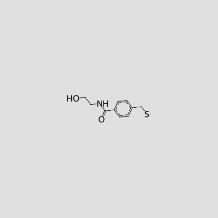 O=C(NCCO)c1ccc(C[S])cc1